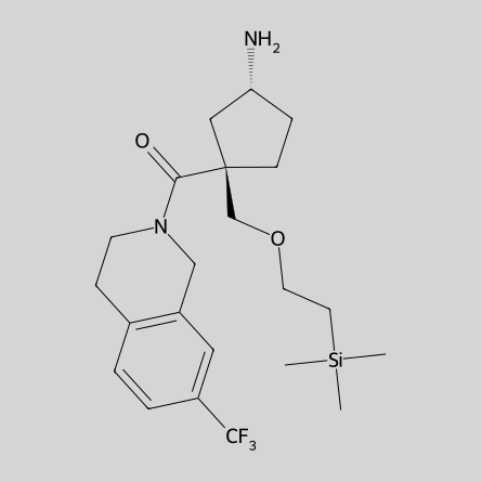 C[Si](C)(C)CCOC[C@]1(C(=O)N2CCc3ccc(C(F)(F)F)cc3C2)CC[C@@H](N)C1